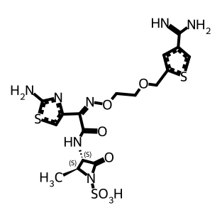 C[C@H]1[C@H](NC(=O)C(=NOCCOCc2cc(C(=N)N)cs2)c2csc(N)n2)C(=O)N1S(=O)(=O)O